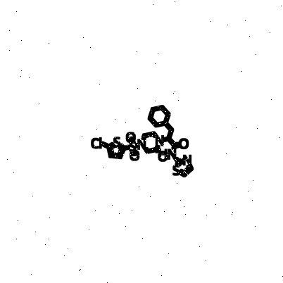 O=C(Nc1nccs1)C(CC1CCCCC1)N1CCN(S(=O)(=O)c2ccc(Cl)s2)CC1=O